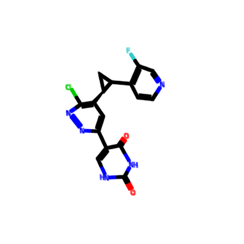 O=c1[nH]cc(-c2cc([C@H]3CC3c3ccncc3F)c(Cl)nn2)c(=O)[nH]1